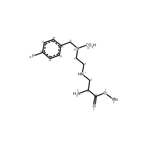 CC(C)(C)OC(=O)C(N)CNCCN(Cc1ccc(F)cc1)C(=O)O